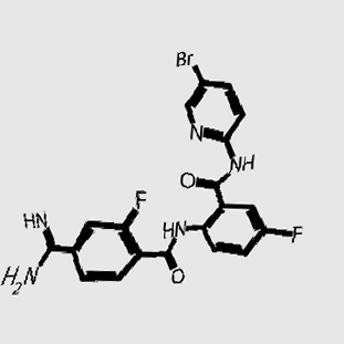 N=C(N)c1ccc(C(=O)Nc2ccc(F)cc2C(=O)Nc2ccc(Br)cn2)c(F)c1